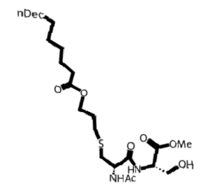 CCCCCCCCCCCCCCCC(=O)OCCCSC[C@@H](NC(C)=O)C(=O)N[C@@H](CO)C(=O)OC